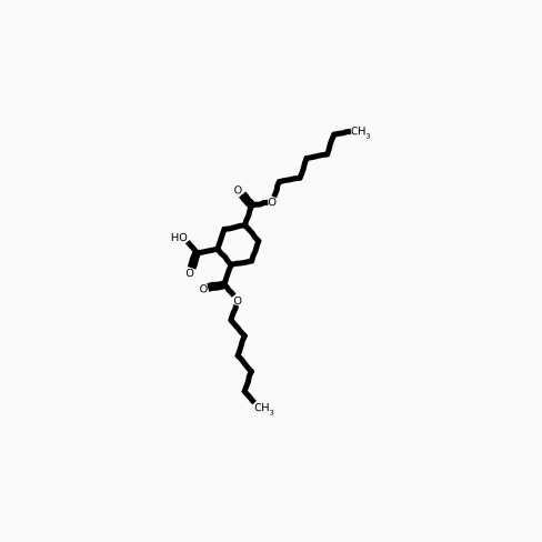 CCCCCCOC(=O)C1CCC(C(=O)OCCCCCC)C(C(=O)O)C1